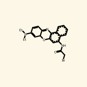 CCN(CC)C1=CC2Oc3cc(NC(=O)CBr)c4ccccc4c3N=C2C=C1